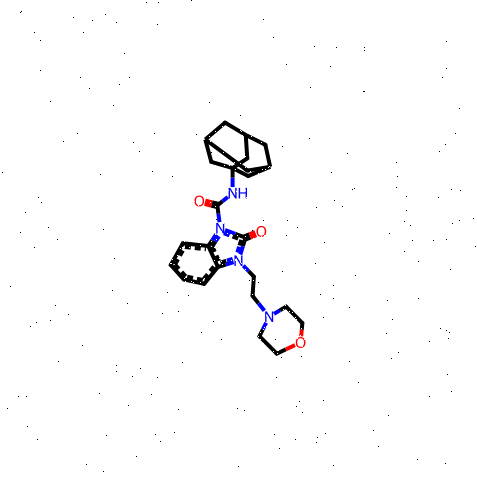 O=C(NC12CC3CC(CC(C3)C1)C2)n1c(=O)n(CCN2CCOCC2)c2ccccc21